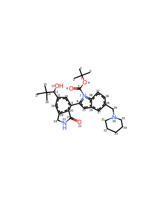 CC(C)(C)OC(=O)n1c(-c2cc(C(O)C(C)(C)C)cc3c2C(=O)NC3)cc2cc(CN3CCCCC3)ccc21